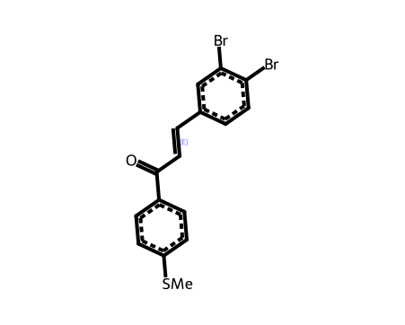 CSc1ccc(C(=O)/C=C/c2ccc(Br)c(Br)c2)cc1